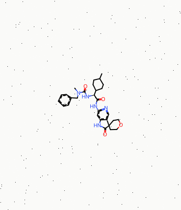 CC1CCC([C@H](NC(=O)N(C)Cc2ccccc2)C(=O)Nc2cc3c(cn2)C2(CCOCC2)C(=O)N3)CC1